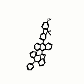 CC1(C)c2cc(C#N)ccc2-c2ccc(-c3c4ccccc4c(-c4nc5cccc6c5n4-c4ccccc4N6c4ccccc4)c4ccccc34)cc21